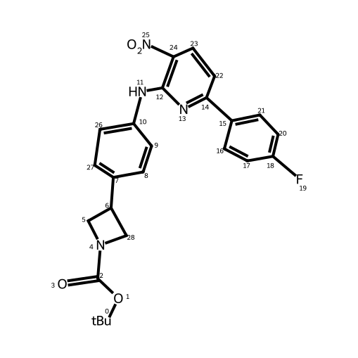 CC(C)(C)OC(=O)N1CC(c2ccc(Nc3nc(-c4ccc(F)cc4)ccc3[N+](=O)[O-])cc2)C1